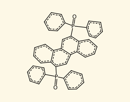 O=P(c1ccccc1)(c1ccccc1)c1cc2c3ccccc3c(P(=O)(c3ccccc3)c3ccccc3)cc2c2ccccc12